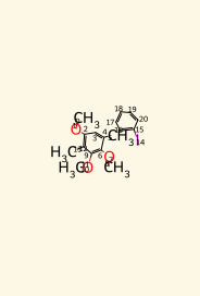 COc1cc(C)c(OC)c(OC)c1C.Ic1ccccc1